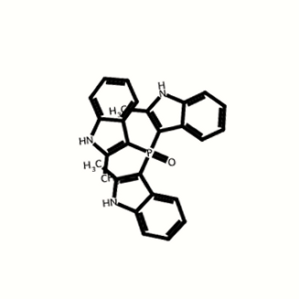 Cc1[nH]c2ccccc2c1P(=O)(c1c(C)[nH]c2ccccc12)c1c(C)[nH]c2ccccc12